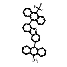 Cc1c2ccccc2c(-c2ccc3sc4c(-c5c6ccccc6c(C(F)(F)F)c6ccccc56)cccc4c3c2)c2ccccc12